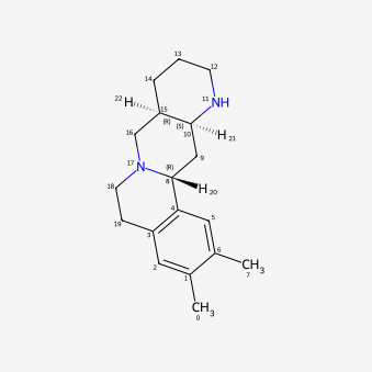 Cc1cc2c(cc1C)[C@H]1C[C@@H]3NCCC[C@@H]3CN1CC2